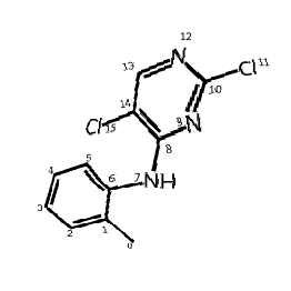 Cc1ccccc1Nc1nc(Cl)ncc1Cl